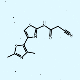 Cc1nc(C)c(-c2csc(NC(=O)CC#N)n2)s1